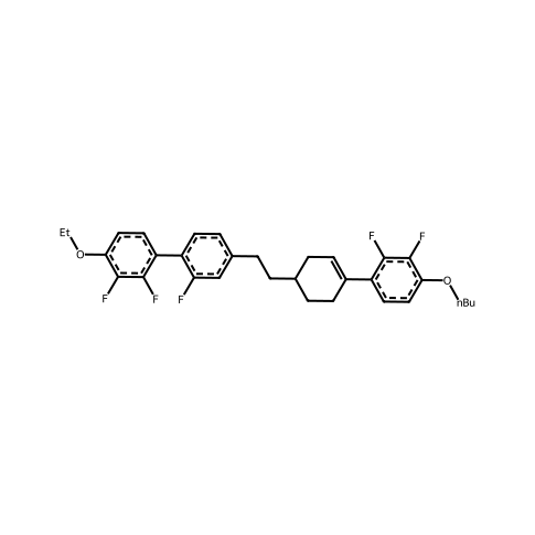 CCCCOc1ccc(C2=CCC(CCc3ccc(-c4ccc(OCC)c(F)c4F)c(F)c3)CC2)c(F)c1F